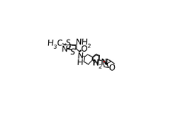 Cc1nc2sc(C(=O)NC3CCc4nc(N5CC6COC(C5)C6N)ccc4C3)c(N)c2s1